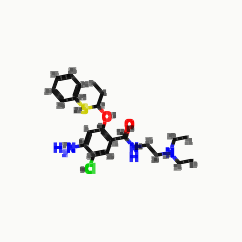 CCC(Oc1cc(N)c(Cl)cc1C(=O)NCCN(CC)CC)Sc1ccccc1